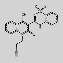 C#CCCn1c(=O)c(C2=NS(=O)(=O)c3ccccc3N2)c(O)c2ccccc21